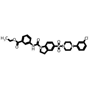 CCOC(=O)c1cccc(NC(=O)N2CCc3cc(S(=O)(=O)N4CCN(c5cccc(Cl)c5)CC4)ccc32)c1